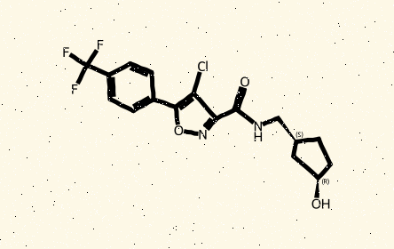 O=C(NC[C@H]1CC[C@@H](O)C1)c1noc(-c2ccc(C(F)(F)F)cc2)c1Cl